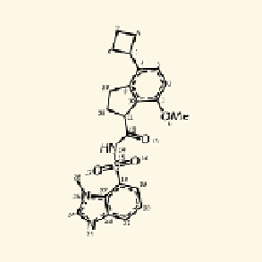 COc1ccc(C2CCC2)c2c1C(C(=O)NS(=O)(=O)c1cccc3ncn(C)c13)CC2